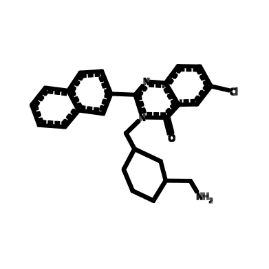 NCC1CCCC(Cn2c(-c3ccc4ccccc4c3)nc3ccc(Cl)cc3c2=O)C1